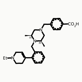 CCN1CC=C(c2ccccc2CN2[C@H](C)CN(Cc3ccc(C(=O)O)cc3)C[C@@H]2C)CC1